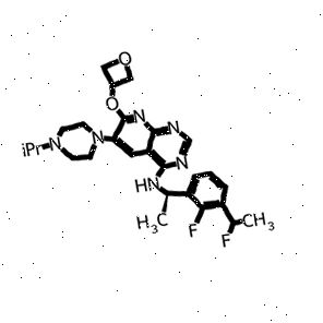 CC(F)c1cccc([C@@H](C)Nc2ncnc3nc(OC4COC4)c(N4CCN(C(C)C)CC4)cc23)c1F